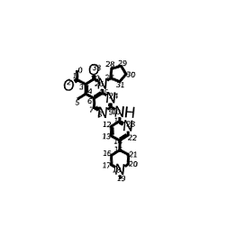 CC(=O)c1c(C)c2cnc(Nc3ccc(C4CCN(C)CC4)cn3)nc2n(C2CCCC2)c1=O